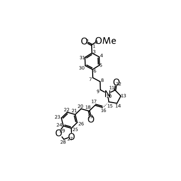 COC(=O)c1ccc(CCCN2C(=O)CC[C@@H]2C=CC(=O)Cc2ccc3c(c2)OCO3)cc1